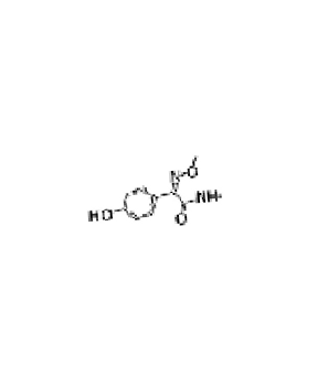 CON=C(C([NH])=O)c1ccc(O)cc1